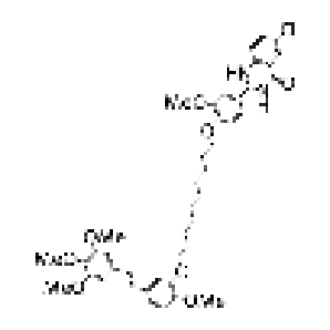 COc1cc(C2NC(=O)c3cc(Cl)ccc3N2)ccc1OCCCCCCCCCCOc1cc(C=Cc2cc(OC)c(OC)c(OC)c2)ccc1OC